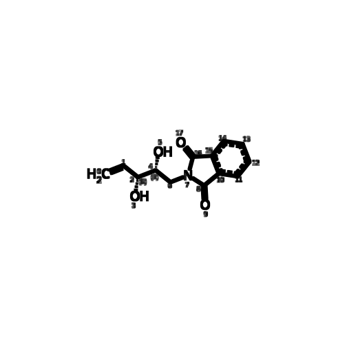 C=C[C@@H](O)[C@H](O)CN1C(=O)c2ccccc2C1=O